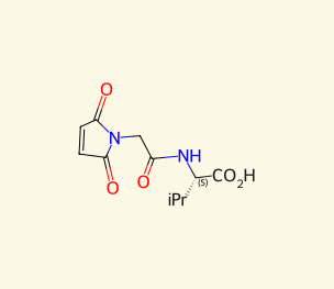 CC(C)[C@H](NC(=O)CN1C(=O)C=CC1=O)C(=O)O